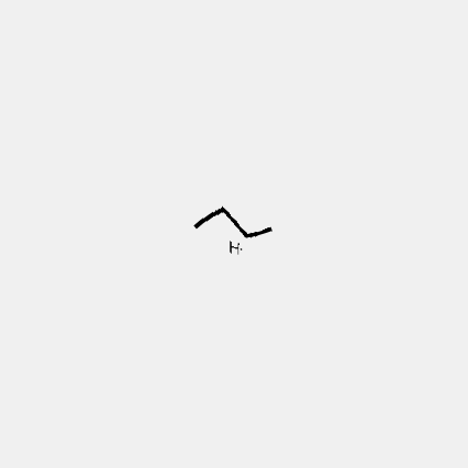 CCCC.[H]